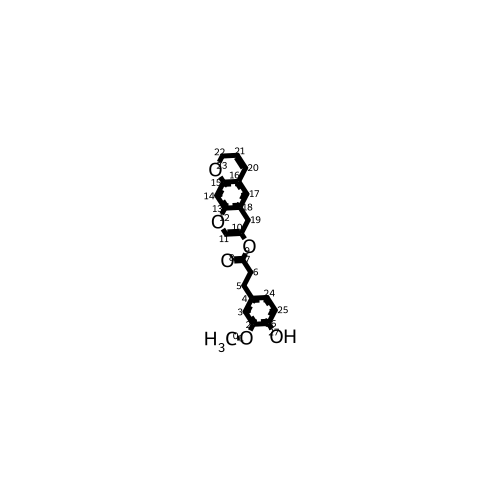 COc1cc(CCC(=O)OC2=COc3cc4c(cc3C2)C=CCO4)ccc1O